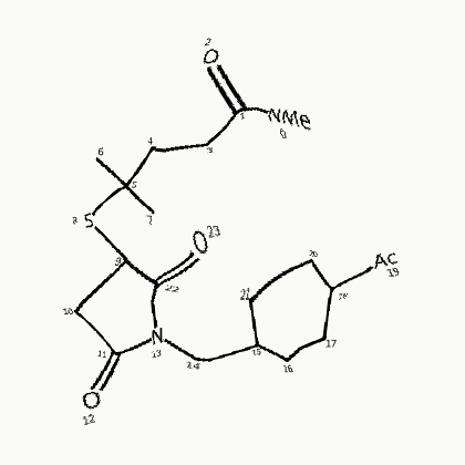 CNC(=O)CCC(C)(C)SC1CC(=O)N(CC2CCC(C(C)=O)CC2)C1=O